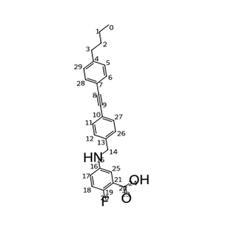 CCCCc1ccc(C#Cc2ccc(CNc3ccc(F)c(C(=O)O)c3)cc2)cc1